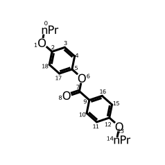 CCCOc1ccc(OC(=O)c2ccc(OCCC)cc2)cc1